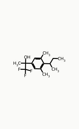 CCC(C)c1c(C)cc(C(C)(O)C(F)(F)F)cc1C